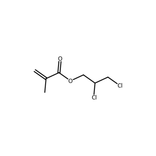 C=C(C)C(=O)OCC(Cl)CCl